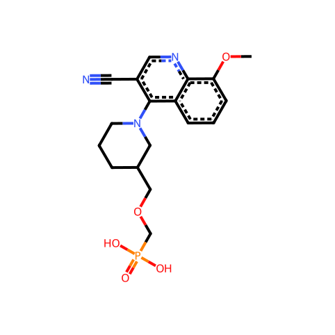 COc1cccc2c(N3CCCC(COCP(=O)(O)O)C3)c(C#N)cnc12